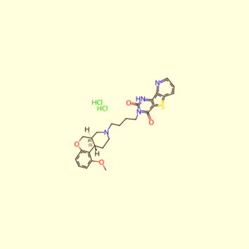 COc1cccc2c1[C@H]1CCN(CCCCn3c(=O)[nH]c4c(sc5cccnc54)c3=O)C[C@@H]1CO2.Cl.Cl